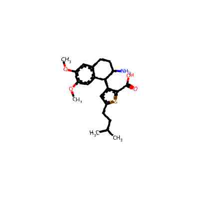 COc1cc2c(cc1OC)C(c1cc(CCC(C)C)sc1C(=O)O)C(N)CC2